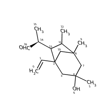 C=CC12CC(C)(O)CC(C)(C1)C(C)C2[C@H](C)C=O